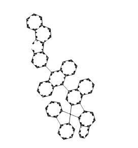 c1ccc2c(c1)-c1ccccc1C21c2cc(-c3c4ccccc4c(-c4ccc5oc6c7ccccc7ccc6c5c4)c4ccccc34)c3ccccc3c2-c2ccc3ccccc3c21